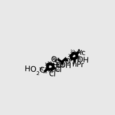 CCCc1c(OCC(O)CS(=O)(=O)c2ccc(CC(=O)O)c(Cl)c2Cl)ccc(C(C)=O)c1O